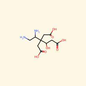 NCC(N)C(CC(=O)O)(CC(=O)O)C(O)CC(=O)O